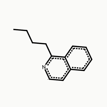 CCCCc1n[c]cc2ccccc12